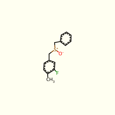 Cc1ccc(C[S+]([O-])Cc2ccccc2)cc1F